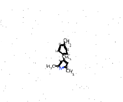 Cc1cc(C)nc(C)c1.Cc1ccccc1